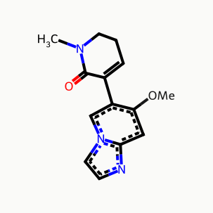 COc1cc2nccn2cc1C1=CCCN(C)C1=O